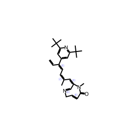 C=C\C(=C/C=C(C)\C=C1/C=N/C/C=C/C(=O)N1C)c1cc(C(C)(C)C)nc(C(C)(C)C)c1